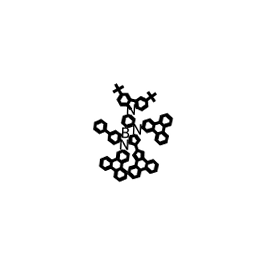 CC(C)(C)c1ccc2c(c1)c1cc(C(C)(C)C)ccc1n2-c1ccc2c(c1)N(c1ccc3c4ccccc4c4ccccc4c3c1)C1=CC(C3C=c4c(c5ccccc5c5ccccc45)=C3)C3=C1B2c1cc(-c2ccccc2)ccc1N3c1ccc2c3ccccc3c3ccccc3c2c1